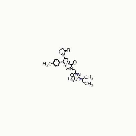 CC/C(C)=C(C)/N=C(/CNC(=O)N1C[C@H](N2CCCC2=O)C(c2ccc(C)cc2)=N1)OC